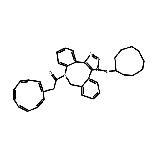 O=C(Cc1ccccccccc1)N1Cc2ccccc2-c2c(nnn2CC2CCCCCCCC2)-c2ccccc21